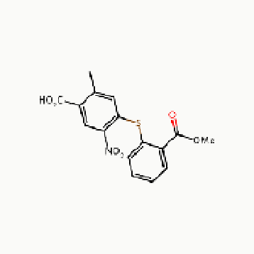 COC(=O)c1ccccc1Sc1cc(C)c(C(=O)O)cc1[N+](=O)[O-]